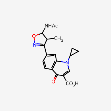 CC(=O)NC1ON=C(c2ccc3c(=O)c(C(=O)O)cn(C4CC4)c3c2)C1C